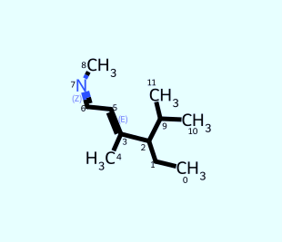 CCC(/C(C)=C/C=N\C)C(C)C